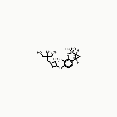 NC(CO)(CO)CN1CC(Oc2ccc3c(c2C(=O)O)O[B-](O)(O)[C@@H]2C[C@H]32)C1